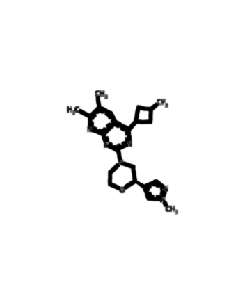 Cc1cc2c(C3CC(C(F)(F)F)C3)nc(N3CCO[C@H](c4cnn(C)c4)C3)nc2nc1C